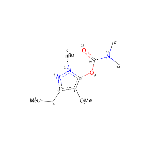 CCCCn1nc(COC)c(OC)c1OC(=O)N(C)C